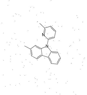 Cc1ccc2c3ccccc3n(-c3cccc(C)n3)c2c1